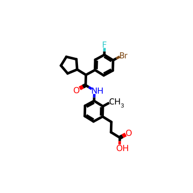 Cc1c(CCC(=O)O)cccc1NC(=O)C(c1ccc(Br)c(F)c1)C1CCCC1